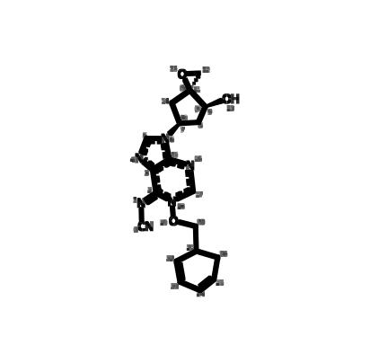 N#CN=c1c2ncn([C@@H]3C[C@H](O)[C@@]4(CO4)C3)c2ncn1OCC1C=CC=CC1